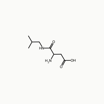 CC(C)CNC(=O)C(N)CC(=O)O